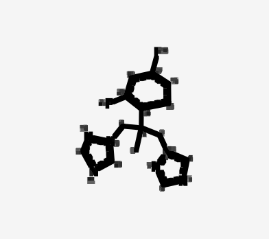 CC(Cn1cncn1)(Cn1cncn1)c1ccc(F)cc1F